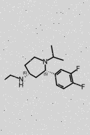 CCN[C@@H]1CCN(C(C)C)[C@H](c2ccc(F)c(F)c2)C1